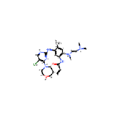 C=CC(=O)Nc1cc(Nc2ncc(Cl)c(N3CCCOCC3)n2)c(OC)cc1N(C)CCN(C)C